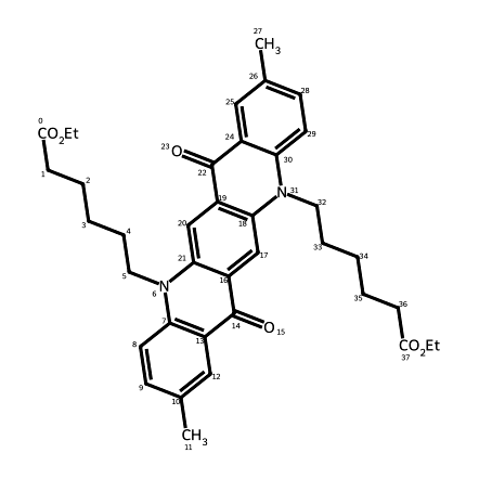 CCOC(=O)CCCCCn1c2ccc(C)cc2c(=O)c2cc3c(cc21)c(=O)c1cc(C)ccc1n3CCCCCC(=O)OCC